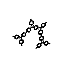 Cc1ccc(N(c2ccc(C)cc2)c2ccc(-c3ccc(N(c4ccc(C)cc4)c4ccc(N(c5ccc(C)cc5)c5ccc(-c6ccc(N(c7ccc(C)cc7)c7ccc(C)cc7)cc6)cc5)cc4)cc3)cc2)cc1